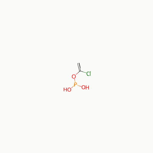 C=C(Cl)OP(O)O